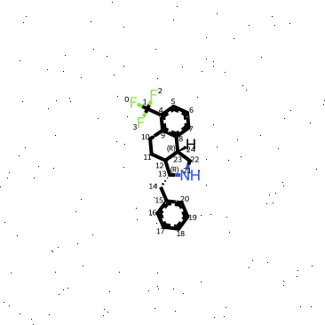 FC(F)(F)c1cccc2c1CCC1[C@@H](Cc3ccccc3)NC[C@@H]21